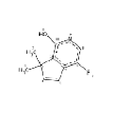 CC1(C)C=Cc2c(F)cnc(O)c21